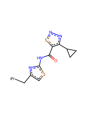 CC(C)Cc1csc(NC(=O)c2snnc2C2CC2)n1